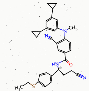 CCSc1ccc([C@H](CCC#N)NC(=O)c2ccc(N(C)c3cc(C4CC4)cc(C4CC4)c3)c(C#N)c2)cc1